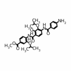 COC(=O)c1ccc(NC(=O)c2ccc(NC(=O)c3ccc(N)cc3)c(OC(C)C)c2O)c(OC(C)C)c1